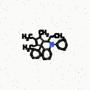 C=CC1=C2C(=C)C(C)=C(C)C2(c2ccccc2)c2ccccc2N1c1ccccc1